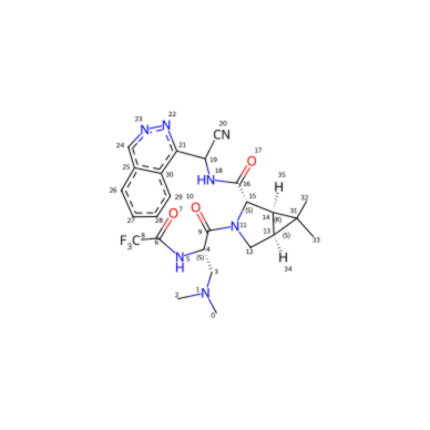 CN(C)C[C@H](NC(=O)C(F)(F)F)C(=O)N1C[C@H]2[C@@H]([C@H]1C(=O)NC(C#N)c1nncc3ccccc13)C2(C)C